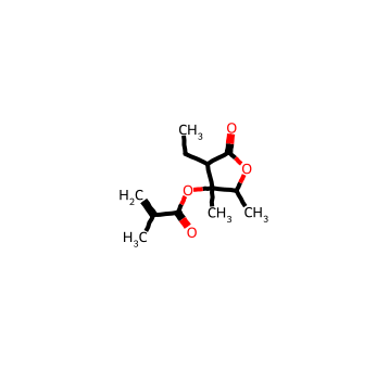 C=C(C)C(=O)OC1(C)C(C)OC(=O)C1CC